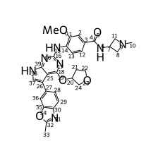 COc1cc(C(=O)NC2CN(C)C2)ccc1Nc1nc(OC2CCOC2)c2c(-c3ccc4nc(C)oc4c3)c[nH]c2n1